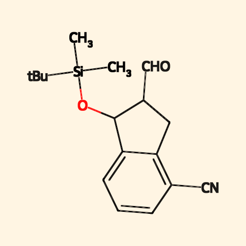 CC(C)(C)[Si](C)(C)OC1c2cccc(C#N)c2CC1C=O